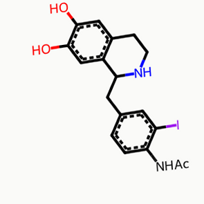 CC(=O)Nc1ccc(CC2NCCc3cc(O)c(O)cc32)cc1I